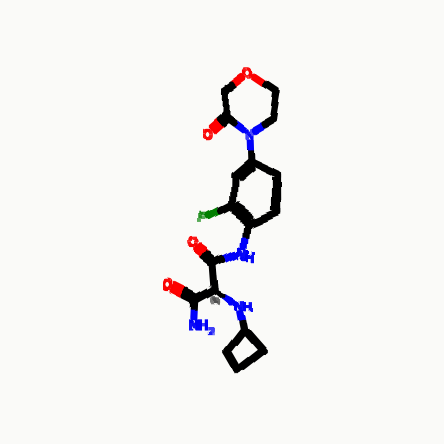 NC(=O)[C@H](NC1CCC1)C(=O)Nc1ccc(N2CCOCC2=O)cc1F